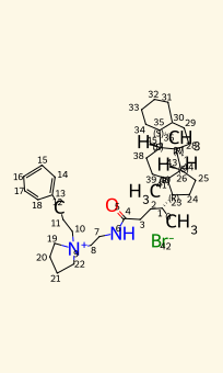 CC(CCC(=O)NCC[N+]1(CCCc2ccccc2)CCCC1)[C@H]1CC[C@H]2[C@@H]3CCC4CCCC[C@]4(C)[C@H]3CC[C@]12C.[Br-]